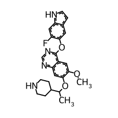 COc1cc2c(Oc3cc4cc[nH]c4cc3F)ncnc2cc1OC(C)C1CCNCC1